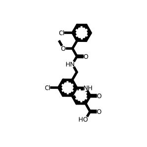 COC(C(=O)NCc1cc(Cl)cc2cc(C(=O)O)c(=O)[nH]c12)c1ccccc1Cl